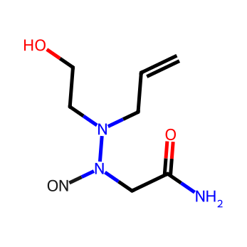 C=CCN(CCO)N(CC(N)=O)N=O